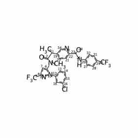 CC(C(=O)N(C)c1cc(C(F)(F)F)nn1-c1cccc(Cl)c1)c1ccc(C(=O)Nc2ccc(C(F)(F)F)cc2)nc1